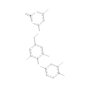 Cc1cc(OCc2cc(F)c(Oc3ccc(Cl)c(C)c3)c(F)c2)nc(=O)[nH]1